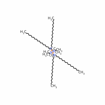 CCCCCCCCCCCCCCCCCCN(CCCCCCCCCCCCCCCCCC)P1N(C(C)(C)C)P(N(CCCCCCCCCCCCCCCCCC)CCCCCCCCCCCCCCCCCC)N1C(C)(C)C